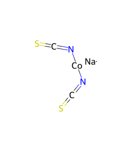 S=C=[N][Co][N]=C=S.[Na]